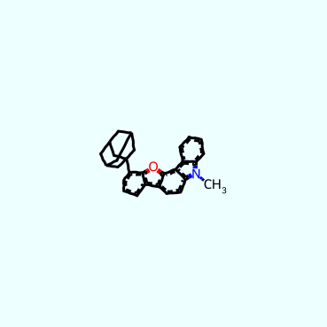 Cn1c2ccccc2c2c3oc4c(C56CC7CC(CC(C7)C5)C6)cccc4c3ccc21